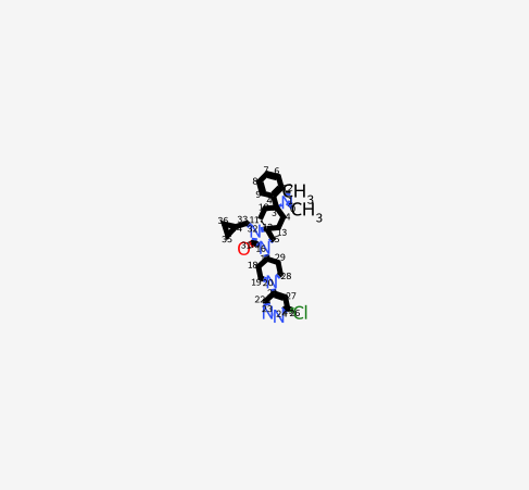 CN(C)[C@]1(c2ccccc2)CC[C@]2(CC1)CN(C1CCN(c3cnnc(Cl)c3)CC1)C(=O)N2CC1CC1